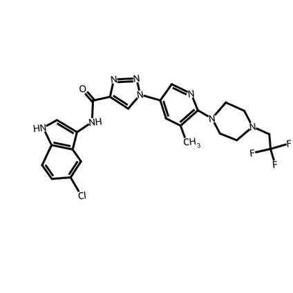 Cc1cc(-n2cc(C(=O)Nc3c[nH]c4ccc(Cl)cc34)nn2)cnc1N1CCN(CC(F)(F)F)CC1